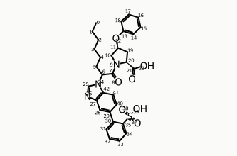 CCCCCCC(C(=O)N1C[C@@H](Oc2ccccc2)C[C@H]1C(=O)O)n1cnc2cc(-c3ccccc3S(=O)(=O)O)ccc21